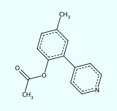 CC(=O)Oc1ccc(C)cc1-c1ccncc1